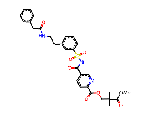 COC(=O)C(C)(C)COC(=O)c1ccc(C(=O)NS(=O)(=O)c2cccc(CCNC(=O)Cc3ccccc3)c2)cn1